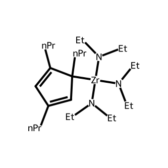 CCCC1=C[C](CCC)([Zr]([N](CC)CC)([N](CC)CC)[N](CC)CC)C(CCC)=C1